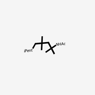 CCCC(C)CC(C)(C)CC(C)(C)NC(C)=O